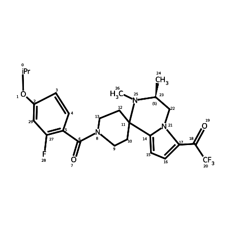 CC(C)Oc1ccc(C(=O)N2CCC3(CC2)c2ccc(C(=O)C(F)(F)F)n2C[C@H](C)N3C)c(F)c1